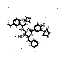 CCc1ccc2c(c1)[C@@H](NC[C@H](O)[C@H](Cc1ccccc1)NC(=O)c1ccc(F)c(N3CCCC3=O)c1)CC1(CCC1)O2